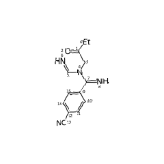 CCC(=O)CN(C=N)C(=N)c1ccc(C#N)cc1